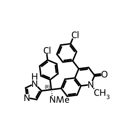 CN[C@](c1ccc(Cl)cc1)(c1ccc2c(c1)c(-c1cccc(Cl)c1)cc(=O)n2C)c1cnc[nH]1